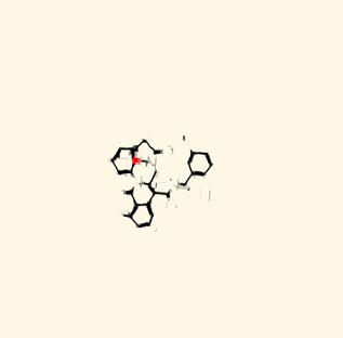 O=C(N[C@@H](O)c1cccc(F)c1)c1c(CN2NCCC2=O)n(-c2ccccc2)c(=O)c2c(F)cccc12